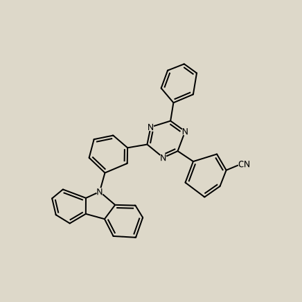 N#Cc1cccc(-c2nc(-c3ccccc3)nc(-c3cccc(-n4c5ccccc5c5ccccc54)c3)n2)c1